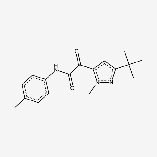 Cc1ccc(NC(=O)C(=O)c2cc(C(C)(C)C)nn2C)cc1